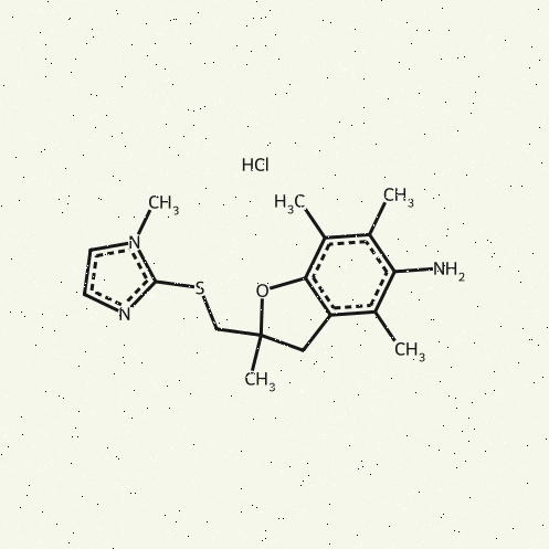 Cc1c(C)c2c(c(C)c1N)CC(C)(CSc1nccn1C)O2.Cl